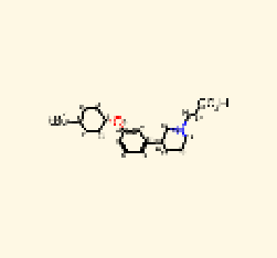 CC(C)(C)[C@H]1CC[C@H](Oc2cccc(C3CCCN(CCC(=O)O)C3)c2)CC1